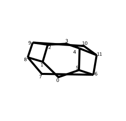 C1C2C3CC4C1C1CC2C3CC41